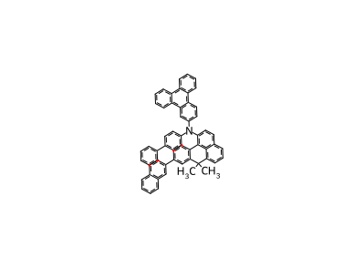 CC1(C)c2cc(-c3ccc4ccccc4c3)ccc2-c2c(N(c3ccc(-c4ccccc4)cc3)c3ccc4c5ccccc5c5ccccc5c4c3)ccc3cccc1c23